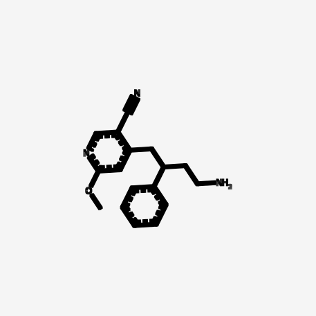 COc1cc(CC(CCN)c2ccccc2)c(C#N)cn1